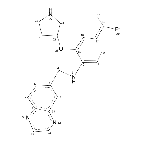 C\C=C(NCc1ccc2nccnc2c1)/C(=C\C=C(/C)CC)OC1CCNC1